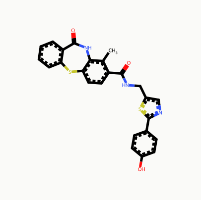 Cc1c(C(=O)NCc2cnc(-c3ccc(O)cc3)s2)ccc2c1NC(=O)c1ccccc1S2